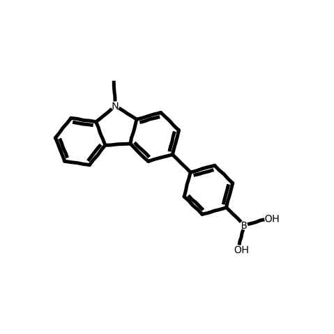 Cn1c2ccccc2c2cc(-c3ccc(B(O)O)cc3)ccc21